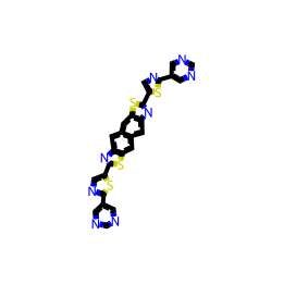 c1ncc(-c2ncc(-c3nc4cc5cc6sc(-c7cnc(-c8cncnc8)s7)nc6cc5cc4s3)s2)cn1